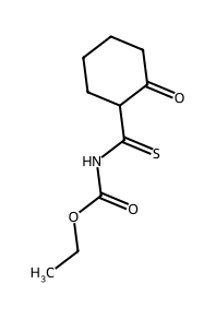 CCOC(=O)NC(=S)C1CCCCC1=O